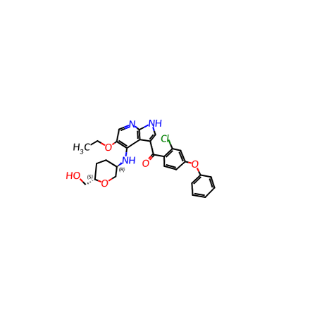 CCOc1cnc2[nH]cc(C(=O)c3ccc(Oc4ccccc4)cc3Cl)c2c1N[C@@H]1CC[C@@H](CO)OC1